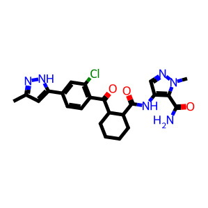 Cc1cc(-c2ccc(C(=O)C3CCCCC3C(=O)Nc3cnn(C)c3C(N)=O)c(Cl)c2)[nH]n1